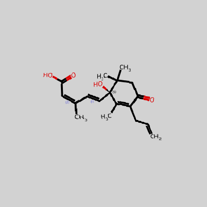 C=CCC1=C(C)[C@](O)(/C=C/C(C)=C\C(=O)O)C(C)(C)CC1=O